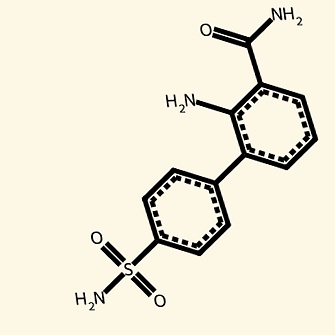 NC(=O)c1cccc(-c2ccc(S(N)(=O)=O)cc2)c1N